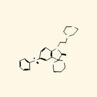 O=C1N(CCN2CCOCC2)c2ccc(S(=O)(=O)c3ccccc3)cc2C12OCCCO2